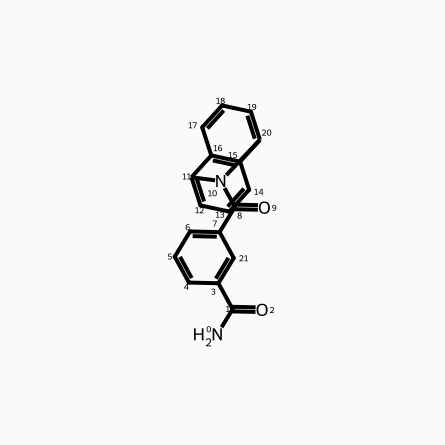 NC(=O)c1cccc(C(=O)n2c3cccc4c3cccc42)c1